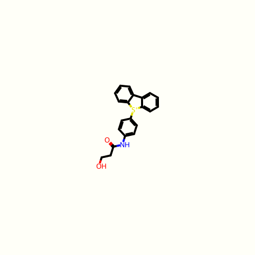 O=C(CCO)Nc1ccc(-[s+]2c3ccccc3c3ccccc32)cc1